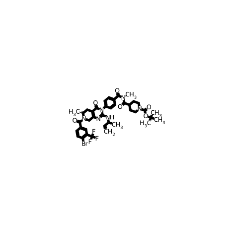 C=CC(C)Nc1nc2c(c(=O)n1-c1ccc(C(=O)N(C)C(=O)C3CCN(C(=O)OC(C)(C)C)CC3)cc1)C[C@@H](C)N(C(=O)c1ccc(Br)c(C(F)(F)F)c1)C2